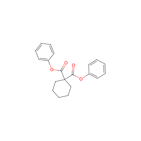 O=C(Oc1ccccc1)C1(C(=O)Oc2ccccc2)CCCCC1